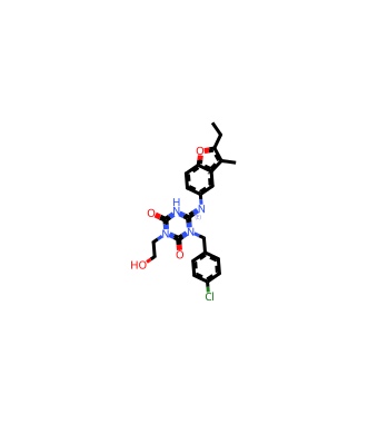 CCc1oc2ccc(/N=c3\[nH]c(=O)n(CCO)c(=O)n3Cc3ccc(Cl)cc3)cc2c1C